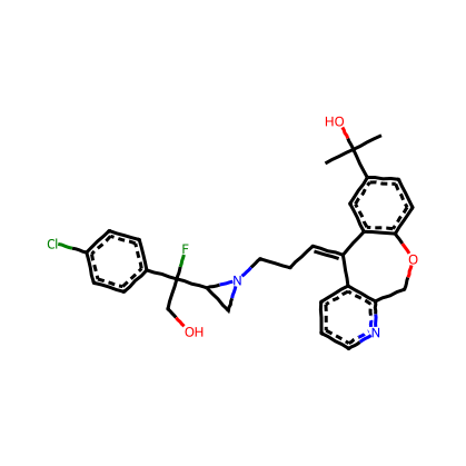 CC(C)(O)c1ccc2c(c1)/C(=C/CCN1CC1C(F)(CO)c1ccc(Cl)cc1)c1cccnc1CO2